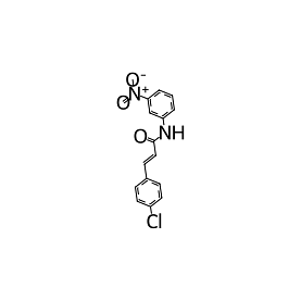 O=C(C=Cc1ccc(Cl)cc1)Nc1cccc([N+](=O)[O-])c1